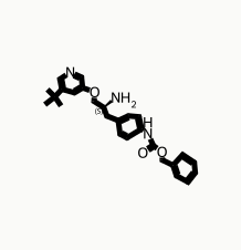 CC(C)(C)c1cncc(OC[C@@H](N)Cc2ccc(NC(=O)OCc3ccccc3)cc2)c1